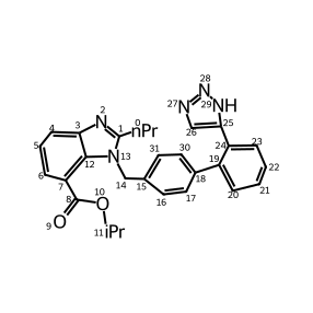 CCCc1nc2cccc(C(=O)OC(C)C)c2n1Cc1ccc(-c2ccccc2-c2cnn[nH]2)cc1